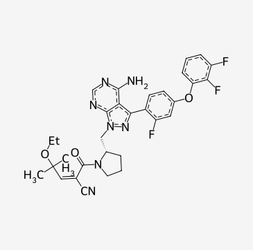 CCOC(C)(C)/C=C(/C#N)C(=O)N1CCC[C@H]1Cn1nc(-c2ccc(Oc3cccc(F)c3F)cc2F)c2c(N)ncnc21